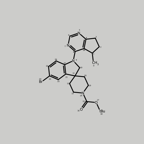 CC1CCc2ncnc(N3CC4(CCN(C(=O)OC(C)(C)C)CC4)c4cc(Br)ccc43)c21